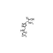 C=CC(=O)NCc1cn(CC(N)C(=O)O)nn1